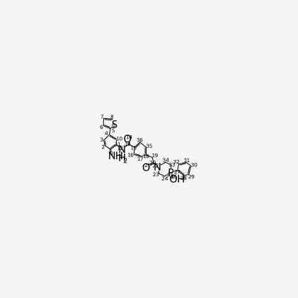 Nc1ccc(-c2cccs2)cc1NC(=O)c1ccc(CC(=O)N2CC[P](O)(c3ccccc3)CC2)cc1